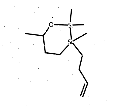 C=CCC[Si]1(C)CCC(C)O[Si]1(C)C